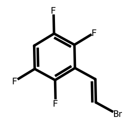 Fc1cc(F)c(F)c(C=CBr)c1F